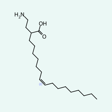 CCCCCCCC/C=C\CCCCCCC(CCN)C(=O)O